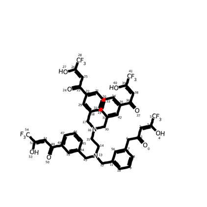 O=C(/C=C(\O)C(F)(F)F)Cc1cccc(CN(CCN(Cc2cccc(C(=O)/C=C(\O)C(F)(F)F)c2)Cc2cccc(C(=O)/C=C(\O)C(F)(F)F)c2)Cc2cccc(C(=O)/C=C(\O)C(F)(F)F)c2)c1